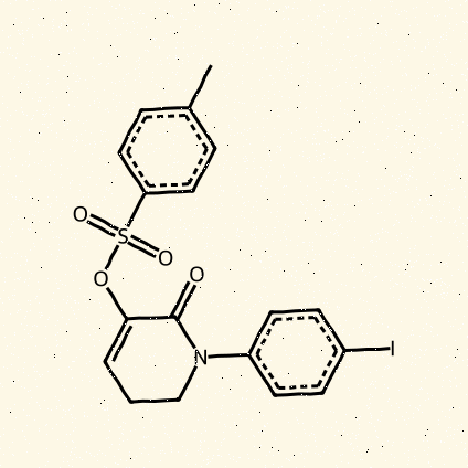 Cc1ccc(S(=O)(=O)OC2=CCCN(c3ccc(I)cc3)C2=O)cc1